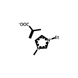 C=C(C)C(=O)[O-].CC[n+]1ccn(C)c1